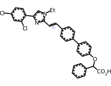 CCn1cc(-c2ccc(Cl)cc2Cl)nc1/C=C/c1ccc(-c2ccc(OC(C(=O)O)c3ccccc3)cc2)cc1